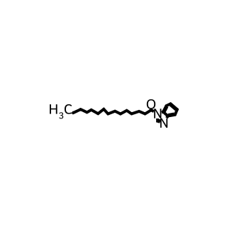 CCCCCCCCCCCCCCC(=O)n1cnc2ccccc21